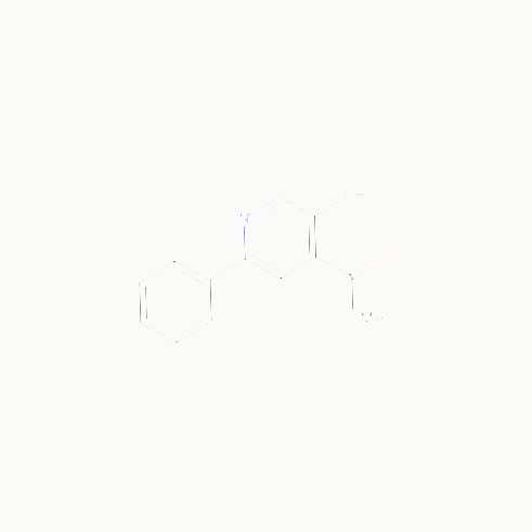 COC(=O)c1cc(-c2ccccc2)ncc1C